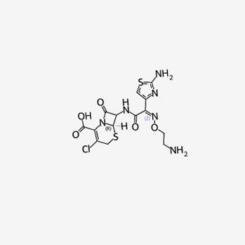 NCCO/N=C(\C(=O)NC1C(=O)N2C(C(=O)O)=C(Cl)CS[C@H]12)c1csc(N)n1